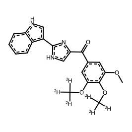 [2H]C([2H])([2H])Oc1cc(C(=O)c2c[nH]c(-c3c[nH]c4ccccc34)n2)cc(OC)c1OC([2H])([2H])[2H]